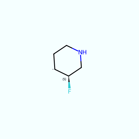 F[C@H]1[CH]CCNC1